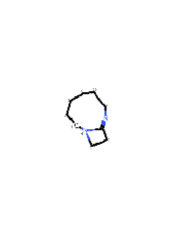 C1CCCN2CCC2=NCC1